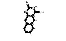 O=c1[nH]c2cc3ccccc3cc2c(=O)o1